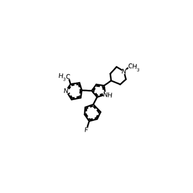 Cc1cc(-c2cc(C3CCN(C)CC3)[nH]c2-c2ccc(F)cc2)ccn1